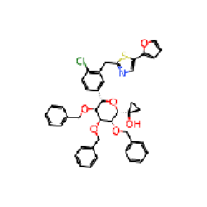 OC1([C@H]2O[C@@H](c3ccc(Cl)c(Cc4ncc(-c5ccco5)s4)c3)[C@H](OCc3ccccc3)[C@H](OCc3ccccc3)[C@H]2OCc2ccccc2)CC1